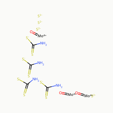 NC(=S)[S-].NC(=S)[S-].NC(=S)[S-].NC(=S)[S-].[O]=[Mo+4].[O]=[Mo+4].[O]=[Mo+4].[S-2].[S-2].[S-2].[S-2]